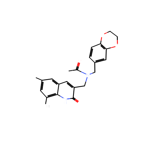 CCC(=O)N(Cc1ccc2c(c1)OCCO2)Cc1cc2cc(C)cc(C)c2[nH]c1=O